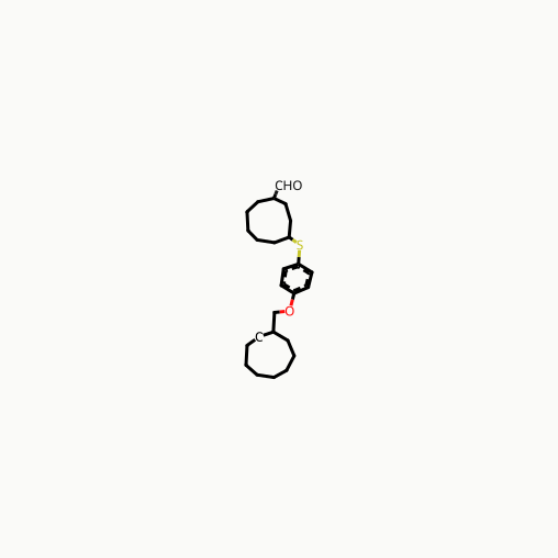 O=CC1CCCCCC(Sc2ccc(OCC3CCCCCCCC3)cc2)CC1